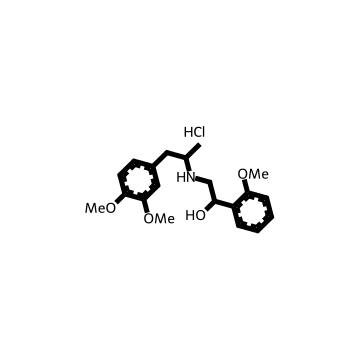 COc1ccc(CC(C)NCC(O)c2ccccc2OC)cc1OC.Cl